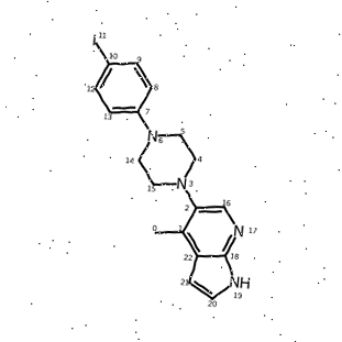 Cc1c(N2CCN(c3ccc(I)cc3)CC2)cnc2[nH]ccc12